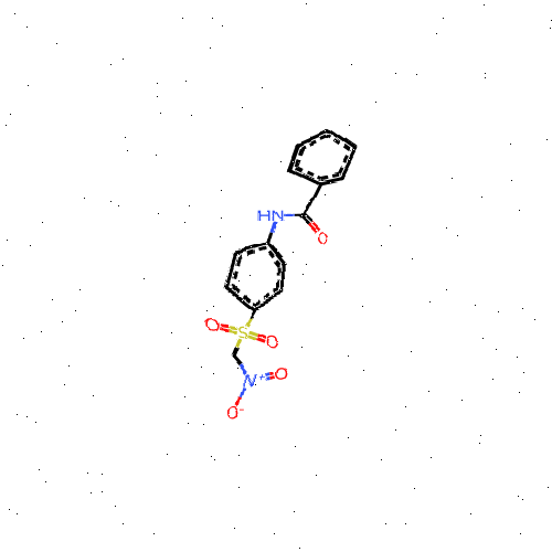 O=C(Nc1ccc(S(=O)(=O)C[N+](=O)[O-])cc1)c1ccccc1